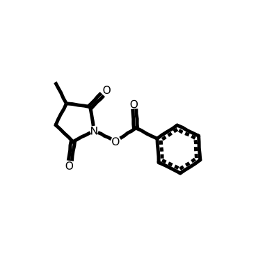 CC1CC(=O)N(OC(=O)c2ccccc2)C1=O